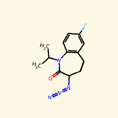 CC(C)N1C(=O)C(N=[N+]=[N-])CCc2cc(F)ccc21